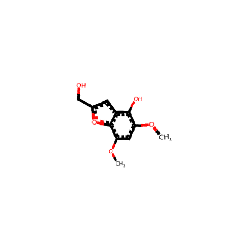 COc1cc(OC)c2oc(CO)cc2c1O